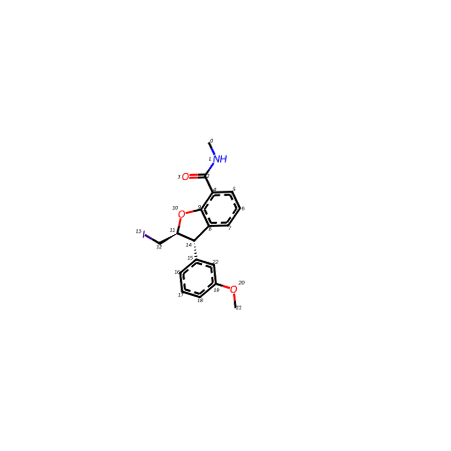 CNC(=O)c1cccc2c1O[C@H](CI)[C@H]2c1cccc(OC)c1